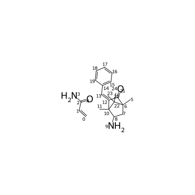 C=CC(N)=O.CC12CC(N)C(C)(C(=Cc3ccccc3)C1=O)C2(C)C